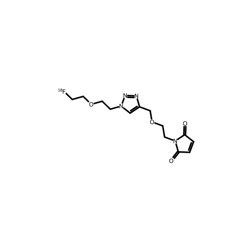 O=C1C=CC(=O)N1CCOCc1cn(CCOCC[18F])nn1